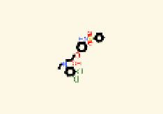 CCN(CC(O)COc1ccc(NS(=O)(=O)c2ccccc2)cc1)c1ccc(Cl)c(Cl)c1